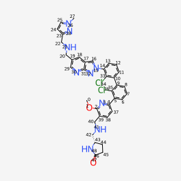 COc1nc(-c2cccc(-c3cccc(-n4cc5cc(CNCc6ccn(C)n6)cnc5n4)c3Cl)c2Cl)ccc1CNC[C@@H]1CCC(=O)N1